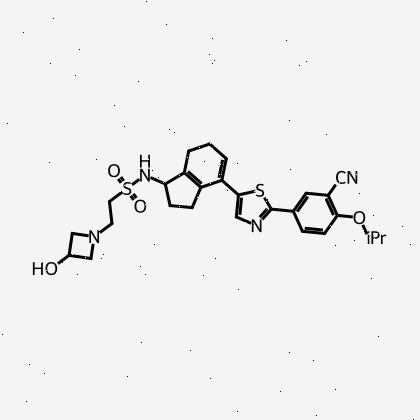 CC(C)Oc1ccc(-c2ncc(C3=CCCC4=C3CCC4NS(=O)(=O)CCN3CC(O)C3)s2)cc1C#N